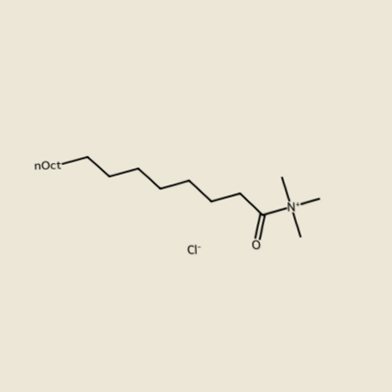 CCCCCCCCCCCCCCCC(=O)[N+](C)(C)C.[Cl-]